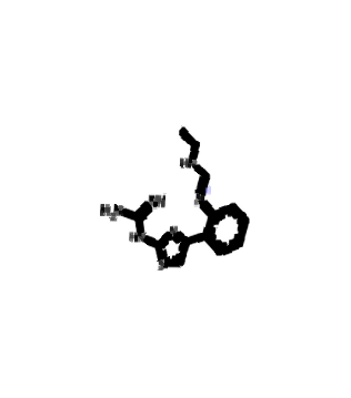 CCN/C=N/c1ccccc1-c1csc(NC(=N)N)n1